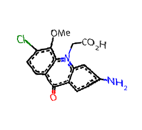 COc1c(Cl)ccc2c(=O)c3ccc(N)cc3n(CC(=O)O)c12